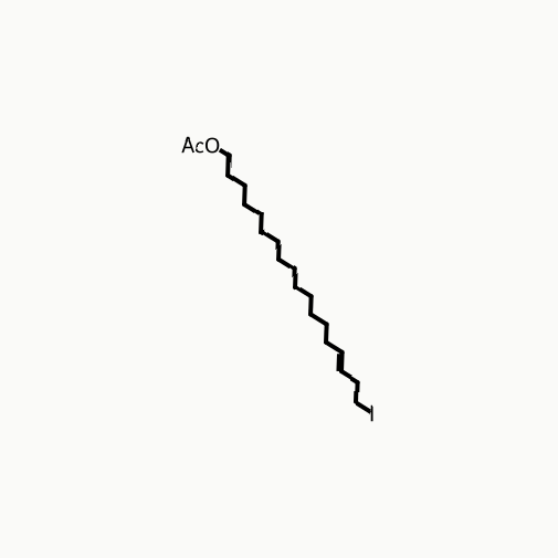 CC(=O)OCCCCCCCCCCCCCC/C=C/CCI